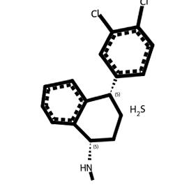 CN[C@H]1CC[C@@H](c2ccc(Cl)c(Cl)c2)c2ccccc21.S